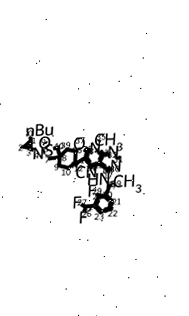 CCCCC1CC1N=S1(=O)CC2(CCC(C#N)(c3cc4c(N[C@H](C)c5cccc(C(F)F)c5F)ncnc4n(C)c3=O)CC2)C1